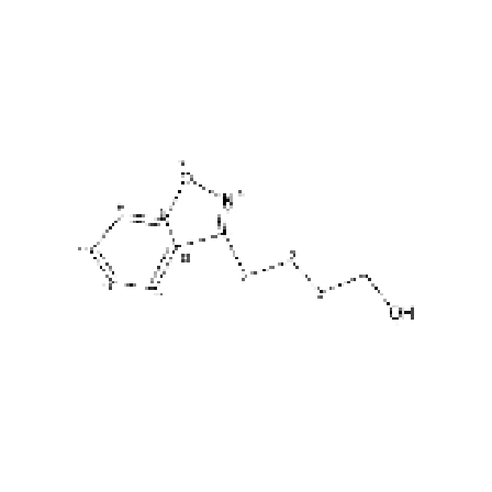 OCCCCc1noc2ccccc12